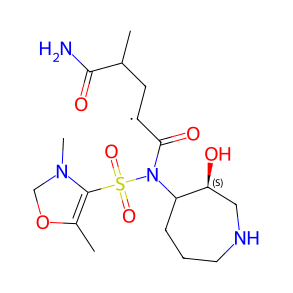 CC1=C(S(=O)(=O)N(C(=O)[CH]CC(C)C(N)=O)C2CCCNC[C@@H]2O)N(C)CO1